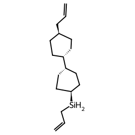 C=CC[SiH2][C@H]1CC[C@H]([C@H]2CC[C@H](CC=C)CC2)CC1